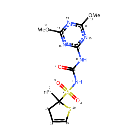 CCCC1(S(=O)(=O)NC(=O)Nc2nc(OC)nc(OC)n2)CC=CS1